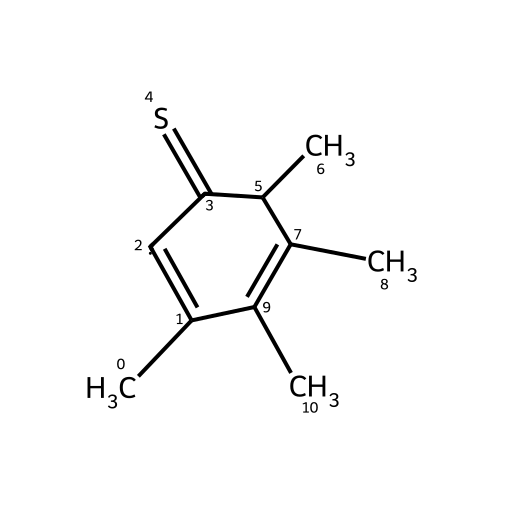 CC1=[C]C(=S)C(C)C(C)=C1C